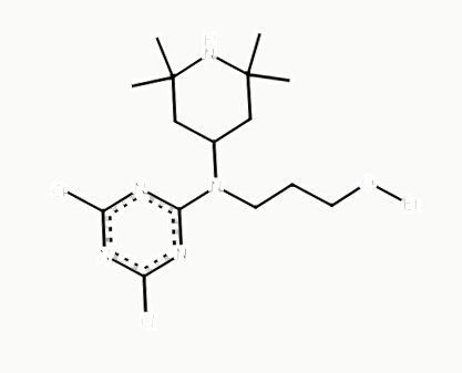 CCOCCCN(c1nc(Cl)nc(Cl)n1)C1CC(C)(C)NC(C)(C)C1